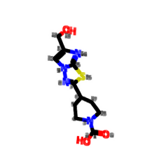 O=C(O)N1CCC(c2nn3cc(CO)nc3s2)CC1